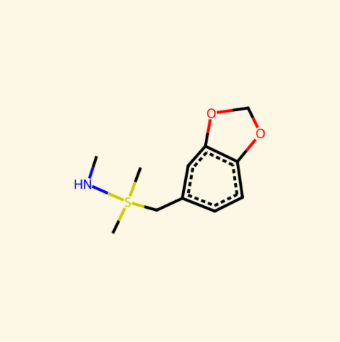 CNS(C)(C)Cc1ccc2c(c1)OCO2